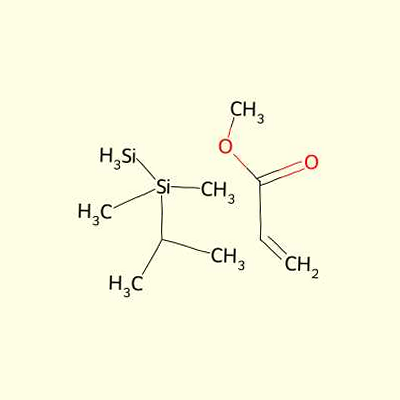 C=CC(=O)OC.CC(C)[Si](C)(C)[SiH3]